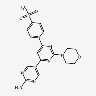 CS(=O)(=O)c1ccc(-c2cc(-c3cnc(N)nc3)nc(N3CCOCC3)n2)cc1